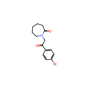 O=C(CN1CCCCCC1=O)c1ccc(Br)cc1